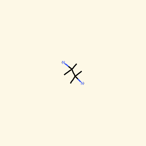 CC(C)([N])C(C)(C)[N]